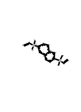 C=C[Si](C)(C)c1ccc2cc([Si](C)(C)C=C)ccc2c1